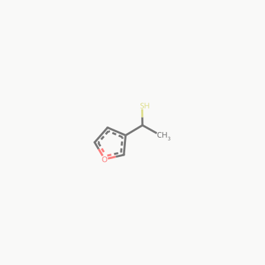 CC(S)c1ccoc1